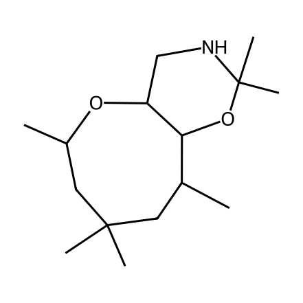 CC1CC(C)(C)CC(C)C2OC(C)(C)NCC2O1